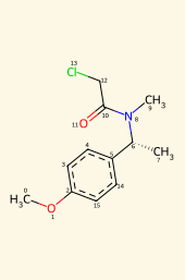 COc1ccc([C@@H](C)N(C)C(=O)CCl)cc1